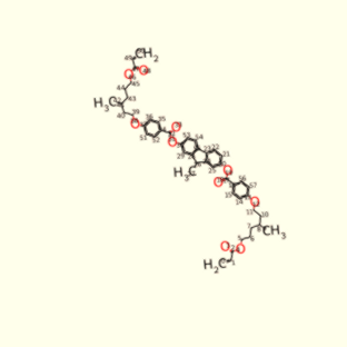 C=CC(=O)OCCCC(C)CCOc1ccc(C(=O)Oc2ccc3c(c2)C(C)c2cc(OC(=O)c4ccc(OCCC(C)CCCOC(=O)C=C)cc4)ccc2-3)cc1